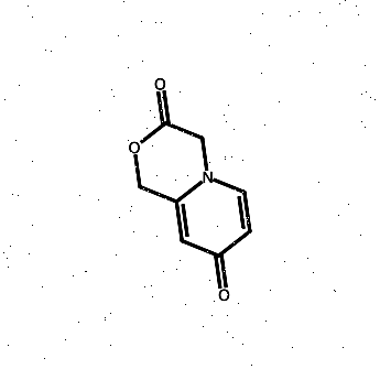 O=C1Cn2ccc(=O)cc2CO1